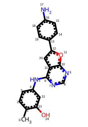 Cc1ccc(Nc2ncnc3oc(-c4ccc(N)cc4)cc23)cc1O